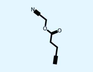 C#CCCC(=O)OCC#N